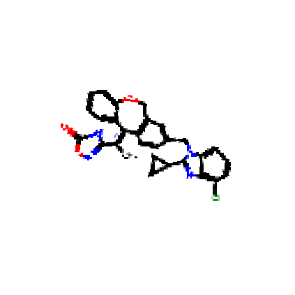 C/C(=C1\c2ccc(Cn3c(C4CC4)nc4c(Cl)cccc43)cc2COc2ccccc21)c1noc(=O)[nH]1